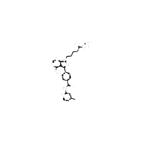 Cc1ccnc(NC(=O)c2ccc(-c3nn(CCCCC(=O)NO)c4ncnc(N)c34)cc2)c1